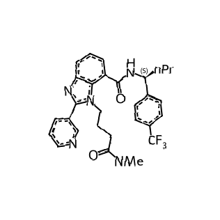 CCC[C@H](NC(=O)c1cccc2nc(-c3cccnc3)n(CCCC(=O)NC)c12)c1ccc(C(F)(F)F)cc1